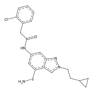 NSc1cc(NC(=O)Cc2ccccc2Cl)cc2nn(CCC3CC3)cc12